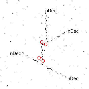 CCCCCCCCCCCCCCCCCCCCCC(CCCCCCCCCCCCCCCCCC)OC(=O)CCCCC(=O)OC(CCCCCCCCCCCCCCCCCC)CCCCCCCCCCCCCCCCCCCCC